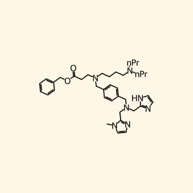 CCCN(CCC)CCCCN(CCC(=O)OCc1ccccc1)Cc1ccc(CN(Cc2ncc[nH]2)Cc2nccn2C)cc1